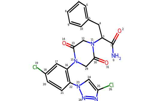 NC(=O)C(Cc1ccccc1)N1CC(=O)N(c2cc(Cl)ccc2-n2cc(Cl)nn2)CC1=O